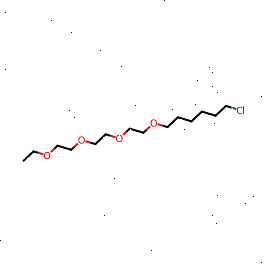 CCOCCOCCOCCOCCCCCCCl